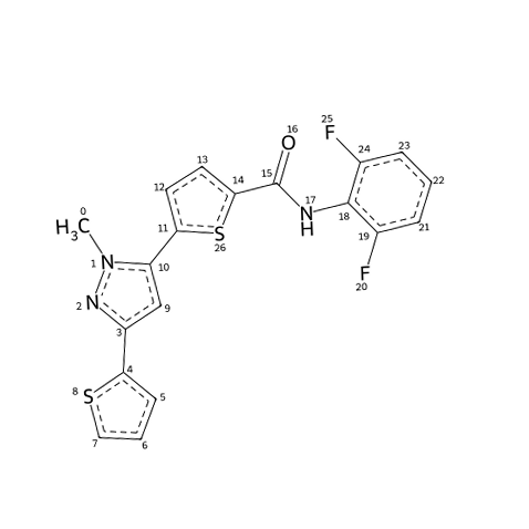 Cn1nc(-c2cccs2)cc1-c1ccc(C(=O)Nc2c(F)cccc2F)s1